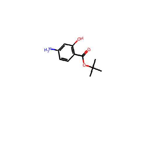 CC(C)(C)OC(=O)c1ccc(N)cc1O